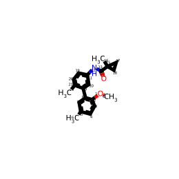 COc1ccc(C)cc1-c1cc(NC(=O)C2(C)CC2)ccc1C